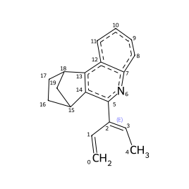 C=C/C(=C\C)c1nc2ccccc2c2c1C1CCC2C1